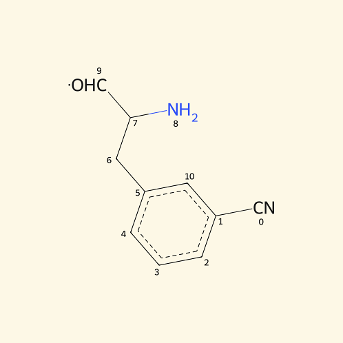 N#Cc1cccc(CC(N)[C]=O)c1